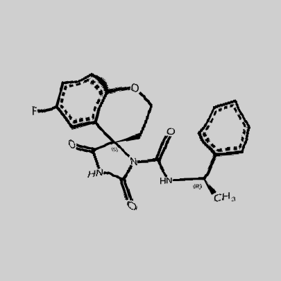 C[C@@H](NC(=O)N1C(=O)NC(=O)[C@@]12CCOc1ccc(F)cc12)c1ccccc1